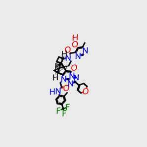 Cc1cc(C(F)(F)F)ccc1NC(=O)Cn1c2c(c(=O)n3nc(C4=CCOCC4)nc13)[C@]1(CCN(C(=O)c3ncnc(C)c3O)[C@H]3CC[C@H]31)[C@@H]1C[C@H]21